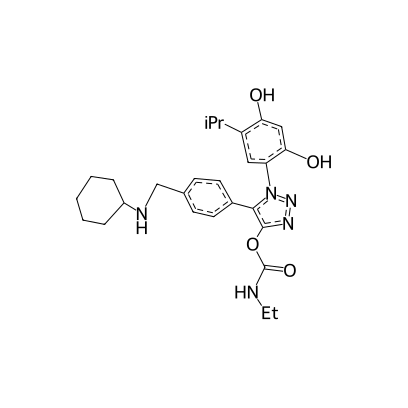 CCNC(=O)Oc1nnn(-c2cc(C(C)C)c(O)cc2O)c1-c1ccc(CNC2CCCCC2)cc1